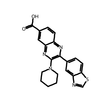 O=C(O)c1ccc2nc(-c3ccc4scnc4c3)c(N3CCCCC3)nc2c1